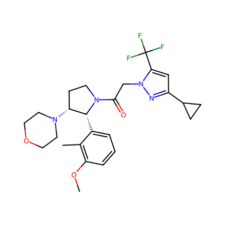 COc1cccc([C@@H]2[C@H](N3CCOCC3)CCN2C(=O)Cn2nc(C3CC3)cc2C(F)(F)F)c1C